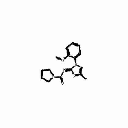 COc1ccccc1-n1cc(C)sc1=NC(=O)N1CCCC1